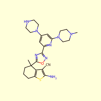 CN1CCN(c2cc(N3CCNCC3)cc(-c3noc(C4(C)CCCc5sc(N)c(C#N)c54)n3)n2)CC1